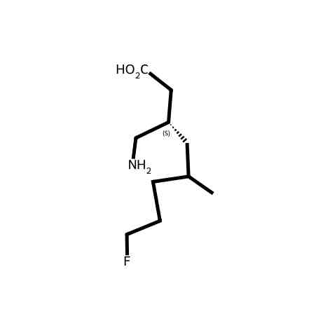 CC(CCCF)C[C@H](CN)CC(=O)O